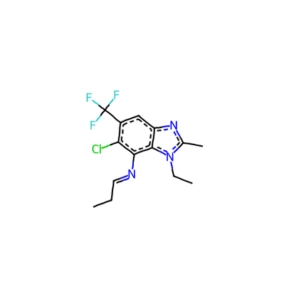 CCC=Nc1c(Cl)c(C(F)(F)F)cc2nc(C)n(CC)c12